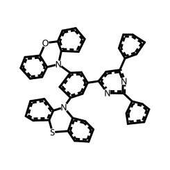 c1ccc(-c2cc(-c3cc(N4c5ccccc5Oc5ccccc54)cc(N4c5ccccc5Sc5ccccc54)c3)nc(-c3ccccc3)n2)cc1